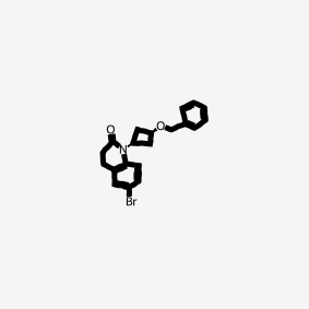 O=C1CCc2cc(Br)ccc2N1[C@H]1C[C@H](OCc2ccccc2)C1